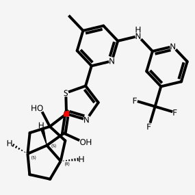 Cc1cc(Nc2cc(C(F)(F)F)ccn2)nc(-c2cnc(C3(O)C[C@H]4CC[C@@H](C3)[C@@H]4C(=O)O)s2)c1